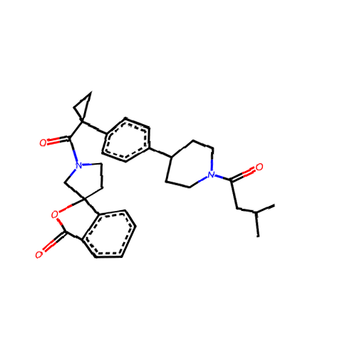 CC(C)CC(=O)N1CCC(c2ccc(C3(C(=O)N4CCC5(C4)OC(=O)c4ccccc45)CC3)cc2)CC1